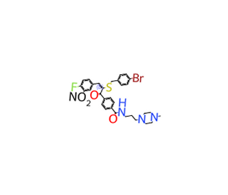 CN1CCN(CCCNC(=O)c2ccc(C(=O)/C(=C\c3ccc(F)c([N+](=O)[O-])c3)SCc3ccc(Br)cc3)cc2)CC1